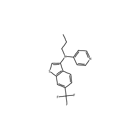 CCCN(c1ccncc1)c1csc2cc(C(F)(F)F)ccc12